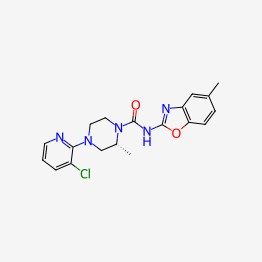 Cc1ccc2oc(NC(=O)N3CCN(c4ncccc4Cl)C[C@H]3C)nc2c1